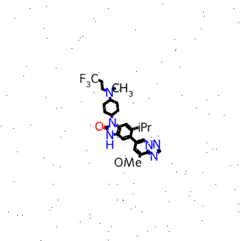 COc1cc(-c2cc3[nH]c(=O)n(C4CCC(N(C)CCC(F)(F)F)CC4)c3cc2C(C)C)cn2ncnc12